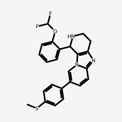 CSc1ccc(-c2ccc3nc4c(n3c2)C(c2ccccc2OC(F)F)NCC4)cc1